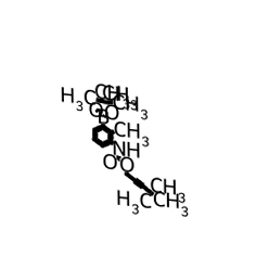 Cc1c(NC(=O)OCC#CC(C)(C)C)cccc1B1OC(C)(C)C(C)(C)O1